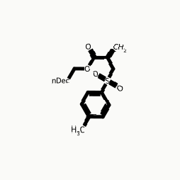 C=C(CS(=O)(=O)c1ccc(C)cc1)C(=O)OCCCCCCCCCCC